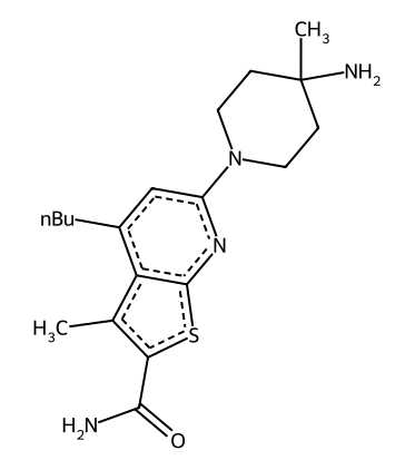 CCCCc1cc(N2CCC(C)(N)CC2)nc2sc(C(N)=O)c(C)c12